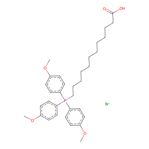 COc1ccc([P+](CCCCCCCCCCCC(=O)O)(c2ccc(OC)cc2)c2ccc(OC)cc2)cc1.[Br-]